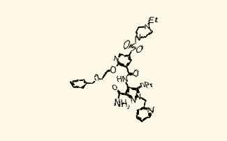 CCCc1c(NC(=O)c2cc(S(=O)(=O)N3CCN(CC)CC3)cnc2OCCOCc2ccccc2)c(C(N)=O)nn1Cc1ccccn1